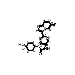 C[C@]1(O)CC[C@@H](n2c(=O)[nH]c3cnc(-c4cnc5ccc(F)cn45)nc32)CC1